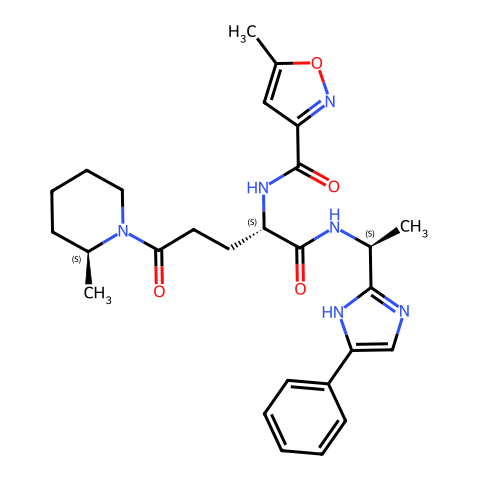 Cc1cc(C(=O)N[C@@H](CCC(=O)N2CCCC[C@@H]2C)C(=O)N[C@@H](C)c2ncc(-c3ccccc3)[nH]2)no1